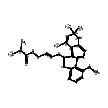 COc1cccc2c1-c1ccc3c(c1C(C/C=C/COC(=O)N(C)C)O2)C(C)=CC(C)(C)N3